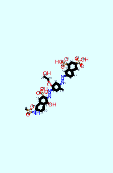 Cc1cc(/N=N/c2c(S(=O)(=O)O)cc3cc(NS(C)(=O)=O)ccc3c2O)c(OCCO)cc1/N=N/c1ccc2cc(S(=O)(=O)O)cc(S(=O)(=O)O)c2c1